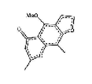 COc1c2ccoc2c(C)c2oc(C)cc(=O)c12